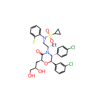 CC[C@@H](CN(c1ccccc1F)S(=O)(=O)C1CC1)N1C(=O)[C@H](C[C@@H](O)CO)O[C@H](c2cccc(Cl)c2)[C@H]1c1ccc(Cl)cc1